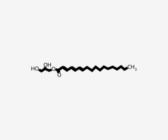 CCCCCCCCCCCC=CC=CC=CC(=O)OCC(O)CO